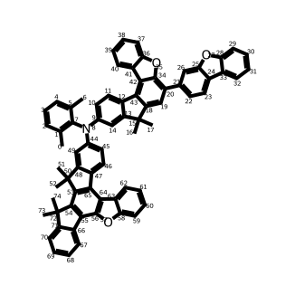 Cc1cccc(C)c1N(c1ccc2c(c1)C(C)(C)c1cc(-c3ccc4c(c3)oc3ccccc34)c3oc4ccccc4c3c1-2)c1ccc2c(c1)C(C)(C)c1c3c(c4oc5ccccc5c4c1-2)-c1ccccc1C3(C)C